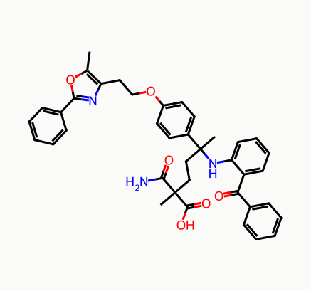 Cc1oc(-c2ccccc2)nc1CCOc1ccc(C(C)(CCC(C)(C(N)=O)C(=O)O)Nc2ccccc2C(=O)c2ccccc2)cc1